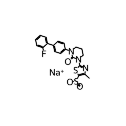 Cc1nc(N2CCCN(c3ccc(-c4ccccc4F)cc3)C2=O)sc1S(=O)[O-].[Na+]